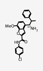 COc1ccc([C@@H](N)C(C)c2ccccc2)c2cc(C(=O)Nc3ccc(Cl)cc3)oc12